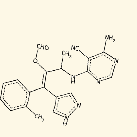 Cc1ccccc1/C(=C(\OC=O)C(C)Nc1ncnc(N)c1C#N)c1cn[nH]c1